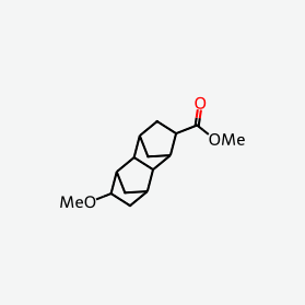 COC(=O)C1CC2CC1C1C3CC(OC)C(C3)C21